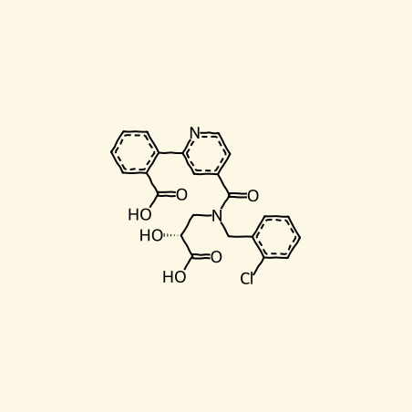 O=C(O)c1ccccc1-c1cc(C(=O)N(Cc2ccccc2Cl)C[C@@H](O)C(=O)O)ccn1